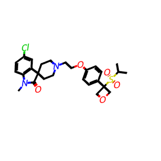 CC(C)S(=O)(=O)C1(c2ccc(OCCN3CCC4(CC3)C(=O)N(C)c3ccc(Cl)cc34)cc2)COC1